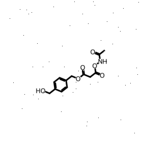 CC(=O)NOC(=O)CC(=O)OCc1ccc(CO)cc1